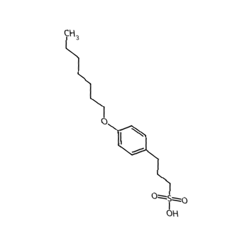 CCCCCCCOc1ccc(CCCS(=O)(=O)O)cc1